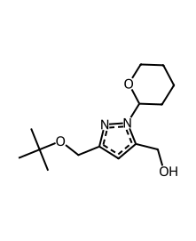 CC(C)(C)OCc1cc(CO)n(C2CCCCO2)n1